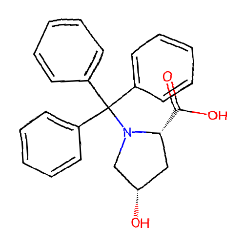 O=C(O)[C@@H]1C[C@H](O)CN1C(c1ccccc1)(c1ccccc1)c1ccccc1